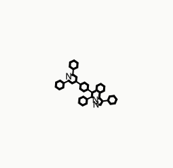 c1ccc(-c2cc(-c3ccc(-c4c(-c5ccccc5)n5ncc(-c6ccccc6)c5c5ccccc45)cc3)cc(-c3ccccc3)n2)cc1